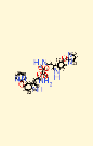 NC(Cc1c[nH]c2ccc(Oc3ncccn3)cc12)OC(=O)C(=O)OC(N)Cc1c[nH]c2ccc(Oc3ncccn3)cc12